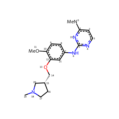 CNc1ccnc(Nc2ccc(OC)c(OC[C@@H]3CCN(C)C3)c2)n1